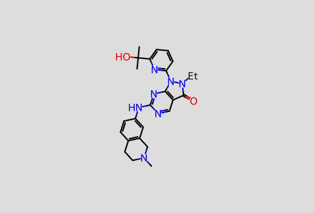 CCn1c(=O)c2cnc(Nc3ccc4c(c3)CN(C)CC4)nc2n1-c1cccc(C(C)(C)O)n1